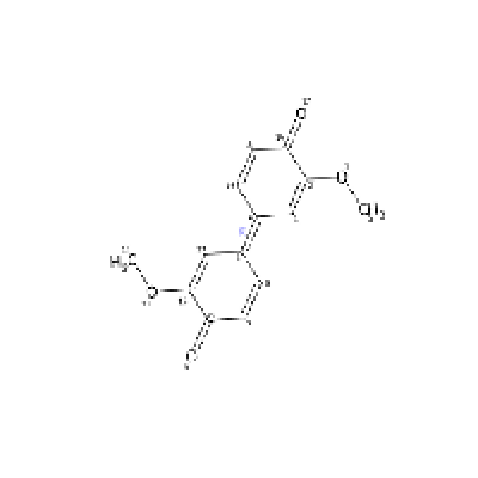 COC1=C/C(=C2\C=CC(=O)C(OC)=C2)C=CC1=O